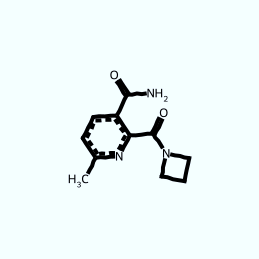 Cc1ccc(C(N)=O)c(C(=O)N2CCC2)n1